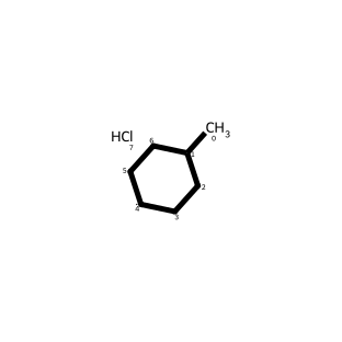 CC1CC[CH]CC1.Cl